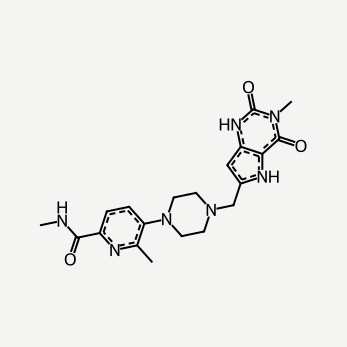 CNC(=O)c1ccc(N2CCN(Cc3cc4[nH]c(=O)n(C)c(=O)c4[nH]3)CC2)c(C)n1